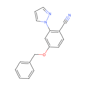 N#Cc1ccc(OCc2ccccc2)cc1-n1cccn1